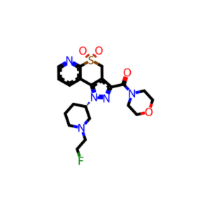 O=C(c1nn([C@H]2CCCN(CCF)C2)c2c1CS(=O)(=O)c1ncccc1-2)N1CCOCC1